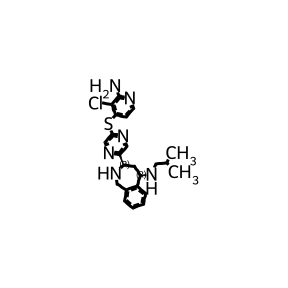 CC(C)CN[C@@H]1C[C@H](c2cnc(Sc3ccnc(N)c3Cl)cn2)NCc2ccccc21